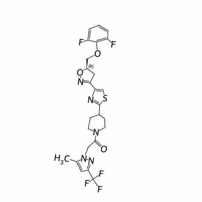 Cc1cc(C(F)(F)F)nn1CC(=O)N1CCC(c2nc(C3=NO[C@@H](COc4c(F)cccc4F)C3)cs2)CC1